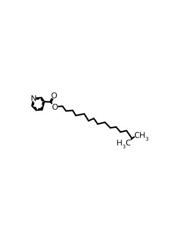 CC(C)CCCCCCCCCCCCCOC(=O)c1cccnc1